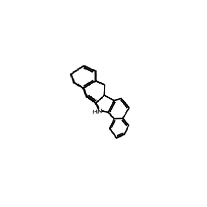 C1=CC2=C(C=C3Nc4c(ccc5ccccc45)C3C2)CC1